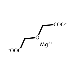 O=C([O-])COCC(=O)[O-].[Mg+2]